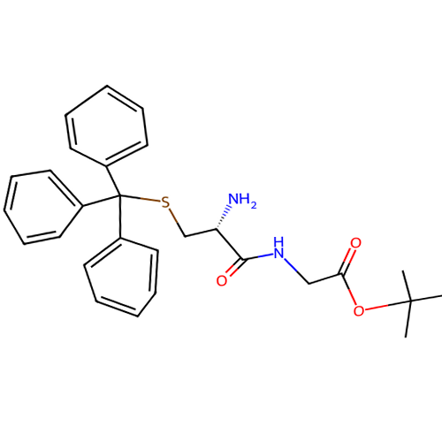 CC(C)(C)OC(=O)CNC(=O)[C@@H](N)CSC(c1ccccc1)(c1ccccc1)c1ccccc1